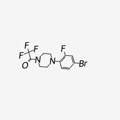 O=C(N1CCN(c2ccc(Br)cc2F)CC1)C(F)(F)F